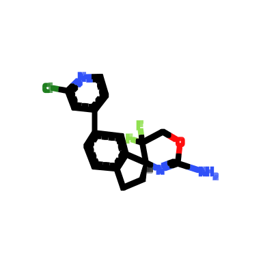 NC1=N[C@@]2(CCc3ccc(-c4ccnc(Cl)c4)cc32)C(F)(F)CO1